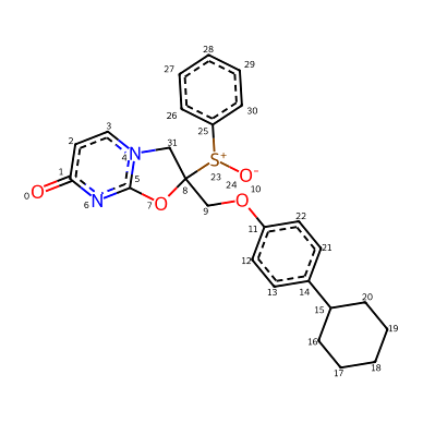 O=c1ccn2c(n1)OC(COc1ccc(C3CCCCC3)cc1)([S+]([O-])c1ccccc1)C2